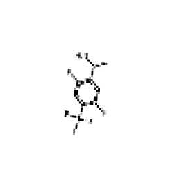 CC(N)c1cc(F)c(C(F)(F)F)cc1F